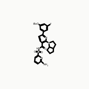 CC(C)COc1cc(F)cc(-c2ccc(C(=O)NS(=O)(=O)c3cccc(N)n3)c(N3CCC4CCCC43)n2)c1